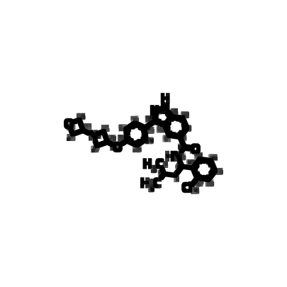 CC(C)CC(NC(=O)c1ccc2[nH]nc(-c3ccc(OC4CN(C5COC5)C4)cc3)c2c1)c1ccccc1Cl